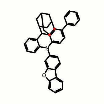 c1ccc(-c2ccc(N(c3ccc4c(c3)oc3ccccc34)c3ccccc3C3C4CC5CC(C4)CC3C5)cc2)cc1